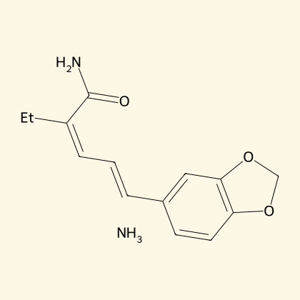 CCC(=CC=Cc1ccc2c(c1)OCO2)C(N)=O.N